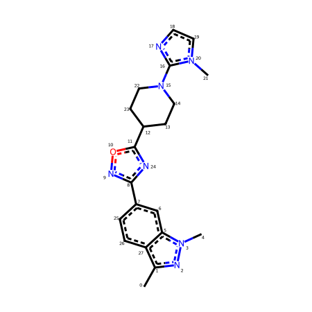 Cc1nn(C)c2cc(-c3noc(C4CCN(c5nccn5C)CC4)n3)ccc12